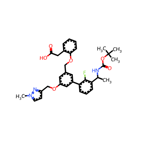 CC(NC(=O)OC(C)(C)C)c1cccc(-c2cc(COc3ccccc3CC(=O)O)cc(OCc3ccn(C)n3)c2)c1F